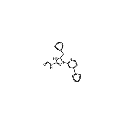 O=CNC1=NN(c2cc(-c3ccccc3)ccn2)C(Cc2ccccc2)N1